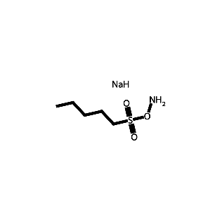 CCCCCS(=O)(=O)ON.[NaH]